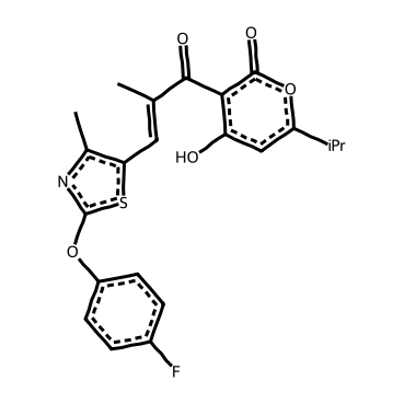 C/C(=C\c1sc(Oc2ccc(F)cc2)nc1C)C(=O)c1c(O)cc(C(C)C)oc1=O